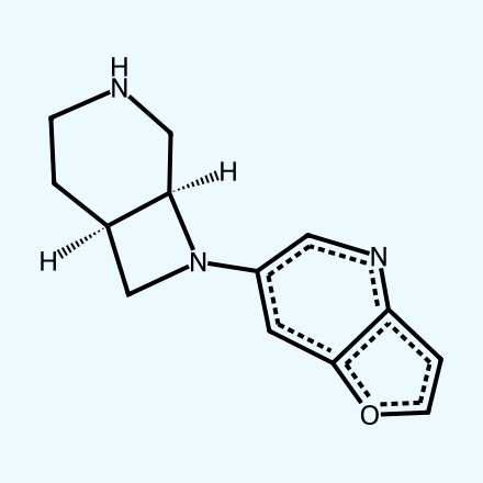 c1cc2ncc(N3C[C@H]4CCNC[C@H]43)cc2o1